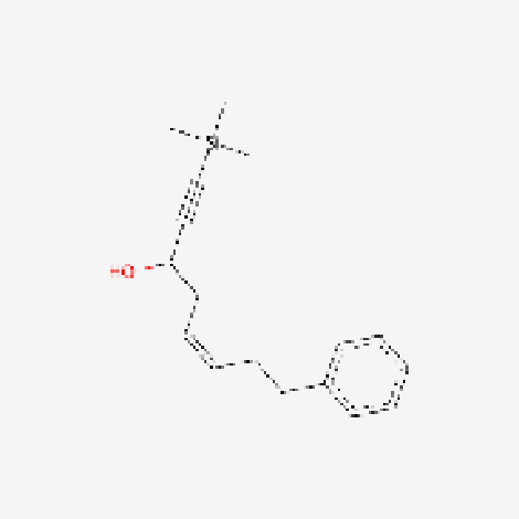 C[Si](C)(C)C#CC(O)C/C=C\CCc1ccccc1